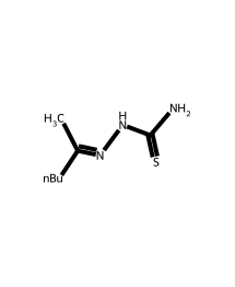 CCCC/C(C)=N/NC(N)=S